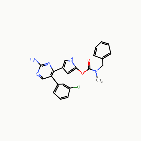 CN(Cc1ccccc1)C(=O)Oc1cc(-c2nc(N)ncc2-c2cccc(Cl)c2)c[nH]1